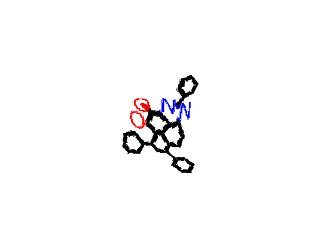 O=c1c(=O)c2c(-c3ccccc3)cc(-c3ccccc3)c3ccc4nc(-c5ccccc5)nc1c4c32